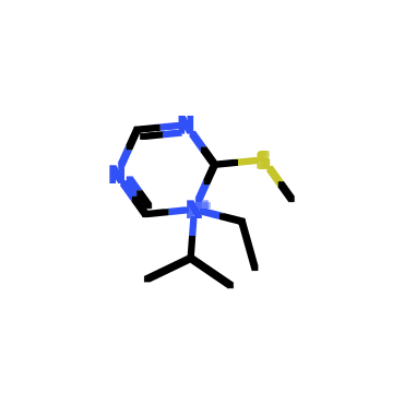 CC[N+]1(C(C)C)C=NC=NC1SC